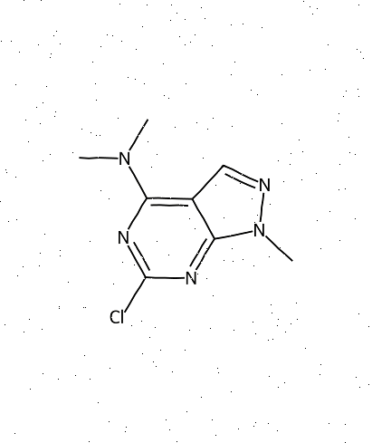 CN(C)c1nc(Cl)nc2c1cnn2C